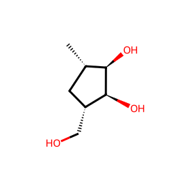 C[C@H]1C[C@@H](CO)[C@H](O)[C@@H]1O